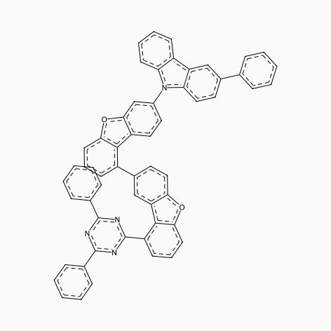 c1ccc(-c2ccc3c(c2)c2ccccc2n3-c2ccc3c(c2)oc2cccc(-c4ccc5oc6cccc(-c7nc(-c8ccccc8)nc(-c8ccccc8)n7)c6c5c4)c23)cc1